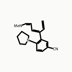 C=C/C(=C\C=C/NC)c1cc(C#N)ccc1N1CCCCC1